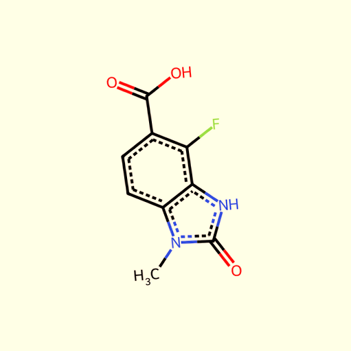 Cn1c(=O)[nH]c2c(F)c(C(=O)O)ccc21